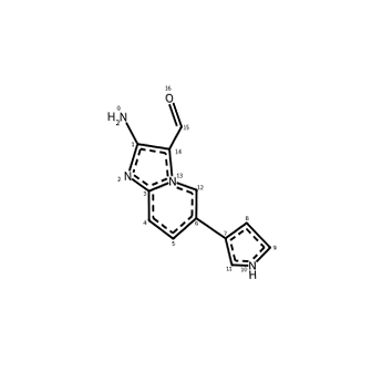 Nc1nc2ccc(-c3cc[nH]c3)cn2c1C=O